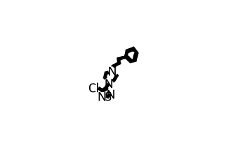 Clc1nsnc1N1CCN(CCCc2ccccc2)CC1